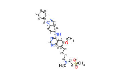 COc1cc2c(Nc3ccc4c(cnn4Cc4ccccc4)c3)ncnc2cc1CCCCN(C)CCS(C)(=O)=O